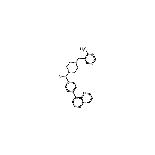 Cc1ncccc1CN1CCN(C(=O)c2ccc(-c3cccc4cccnc34)cc2)CC1